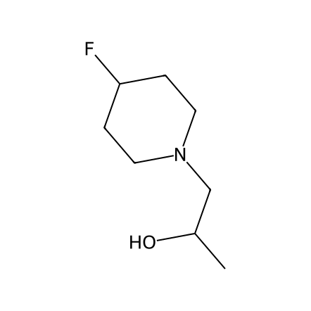 CC(O)CN1CCC(F)CC1